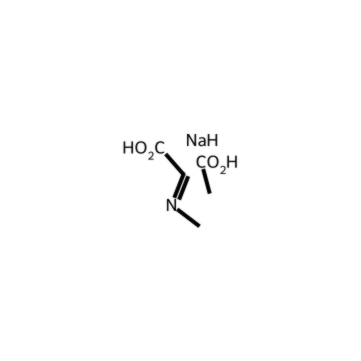 CC(=O)O.CN=CC(=O)O.[NaH]